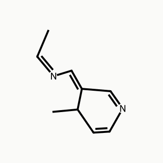 C/C=N\C=C1\C=NC=CC1C